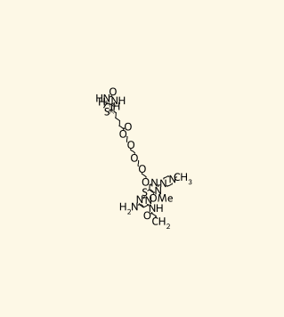 C=CC(=O)Nc1cc(N)nc(Sc2c(OC)nc(N3CCN(C)CC3)nc2OCCOCCOCCOCCOC(=O)CCCC[C@H]2SC[C@H]3NC(=O)N[C@H]32)n1